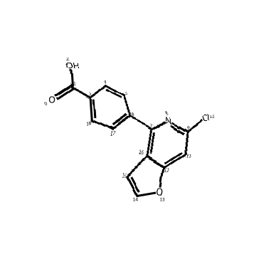 O=C(O)c1ccc(-c2nc(Cl)cc3occc23)cc1